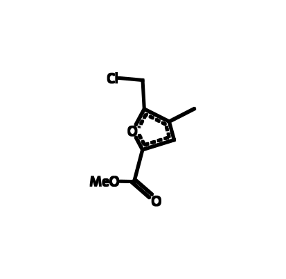 COC(=O)c1cc(C)c(CCl)o1